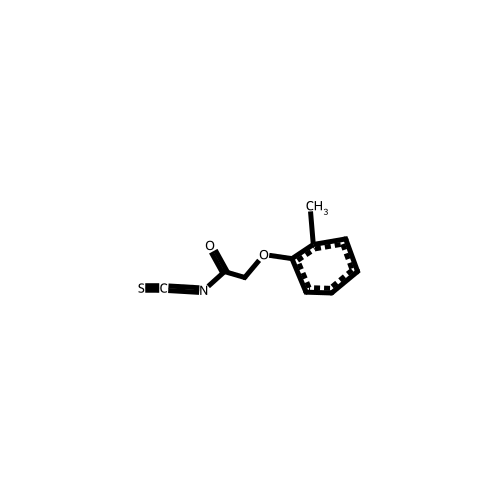 Cc1ccccc1OCC(=O)N=C=S